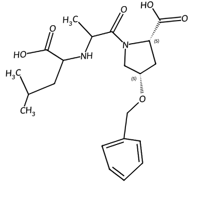 CC(C)CC(NC(C)C(=O)N1C[C@@H](OCc2ccccc2)C[C@H]1C(=O)O)C(=O)O